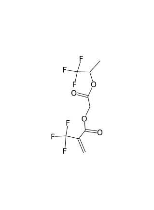 C=C(C(=O)OCC(=O)OC(C)C(F)(F)F)C(F)(F)F